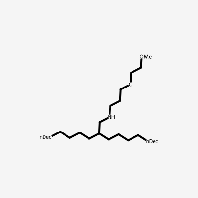 CCCCCCCCCCCCCCC(CCCCCCCCCCCCCC)CNCCCOCCOC